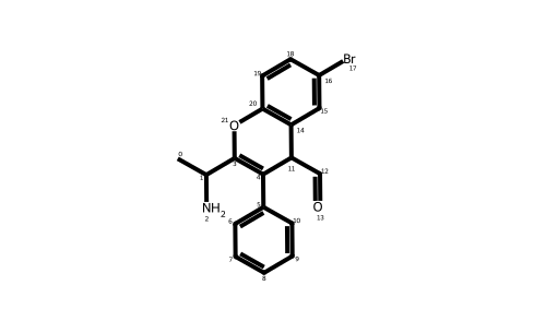 CC(N)C1=C(c2ccccc2)C(C=O)c2cc(Br)ccc2O1